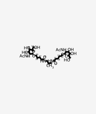 CC(=O)NC1C(O)[C@@H](O)C(CO)O[C@H]1OCCCCC(=O)NCC(C)CNC(=O)CCCCO[C@@H]1OC(CO)[C@H](O)C(O)C1NC(C)=O